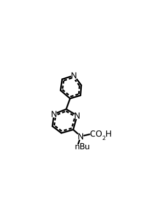 CCCCN(C(=O)O)c1ccnc(-c2ccncc2)n1